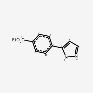 CCOC(=O)c1ccc(C2=CC=N[N]2)cc1